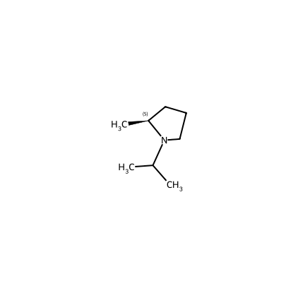 CC(C)N1CCC[C@@H]1C